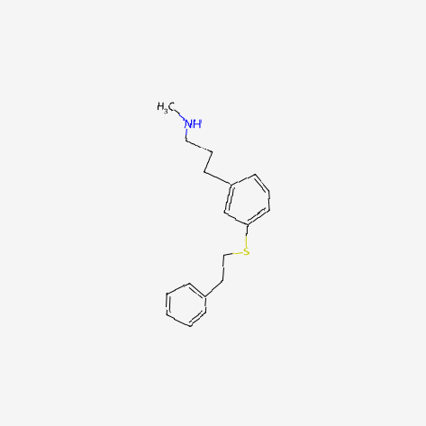 CNCCCc1cccc(SCCc2ccccc2)c1